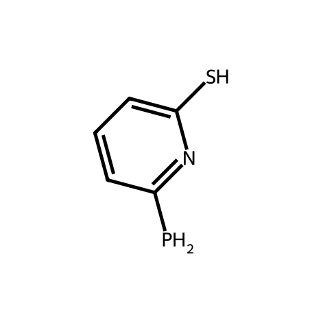 Pc1cccc(S)n1